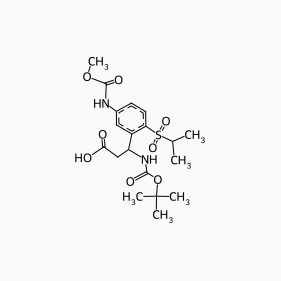 COC(=O)Nc1ccc(S(=O)(=O)C(C)C)c(C(CC(=O)O)NC(=O)OC(C)(C)C)c1